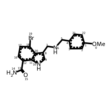 COc1ccc(CNCc2c[nH]c3c(C(N)=O)ccc(Br)c23)cc1